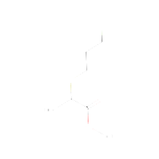 CCCCC(SCCCF)C(=O)OCCC